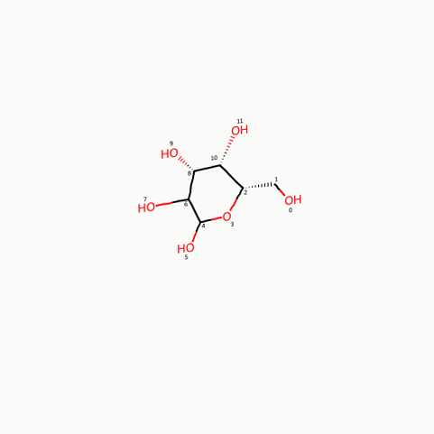 OC[C@@H]1OC(O)C(O)[C@H](O)[C@@H]1O